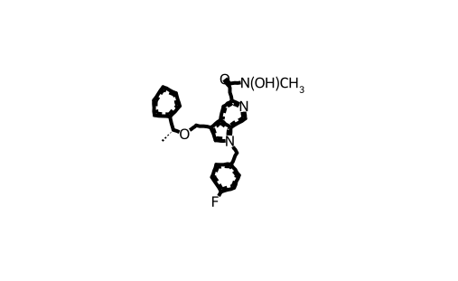 C[C@@H](OCc1cn(Cc2ccc(F)cc2)c2cnc(C(=O)N(C)O)cc12)c1ccccc1